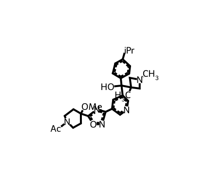 COC1(c2nc(-c3cncc(C(O)(c4ccc(C(C)C)cc4)C4(C)CN(C)C4)c3)no2)CCN(C(C)=O)CC1